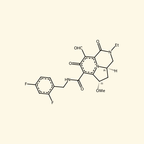 CCN1C[C@H]2C[C@H](OC)c3c(C(=O)NCc4ccc(F)cc4F)c(=O)c(C=O)c(n32)C1=O